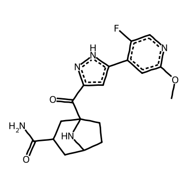 COc1cc(-c2cc(C(=O)C34CCC(CC(C(N)=O)C3)N4)n[nH]2)c(F)cn1